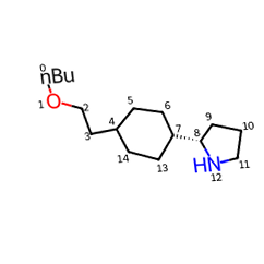 CCCCOCCC1CCC([C@@H]2CCCN2)CC1